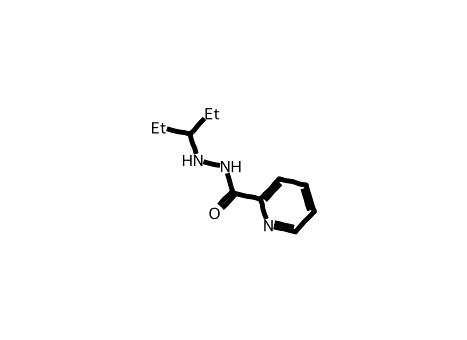 CCC(CC)NNC(=O)c1ccccn1